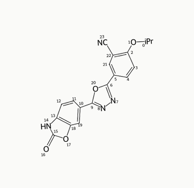 CC(C)Oc1ccc(-c2nnc(-c3ccc4[nH]c(=O)oc4c3)o2)cc1C#N